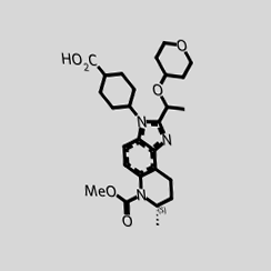 COC(=O)N1c2ccc3c(nc(C(C)OC4CCOCC4)n3C3CCC(C(=O)O)CC3)c2CC[C@@H]1C